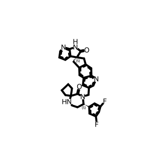 O=C1N(Cc2cnc3cc4c(cc3c2)C[C@@]2(C4)C(=O)Nc3ncccc32)[C@H](c2cc(F)cc(F)c2)CCNC12CCCC2